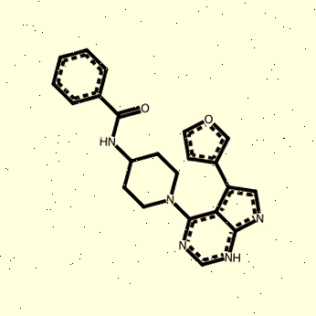 O=C(NC1CCN(c2nc[nH]c3ncc(-c4ccoc4)c2-3)CC1)c1ccccc1